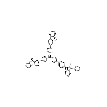 Cc1c(-c2ccccc2)c2ccccc2n1-c1ccc(-c2ccc(N(c3ccc(-c4ccc5c(c4)sc4ccccc45)cc3)c3ccc(-c4ccc5c(c4)sc4ccccc45)cc3)cc2)cc1